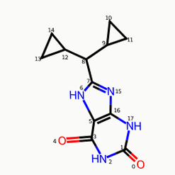 O=c1[nH]c(=O)c2[nH]c(C(C3CC3)C3CC3)nc2[nH]1